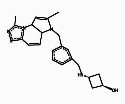 CC1=CC2C(C=Cc3nnc(C)n32)N1Cc1cccc(CN[C@H]2C[C@H](O)C2)c1